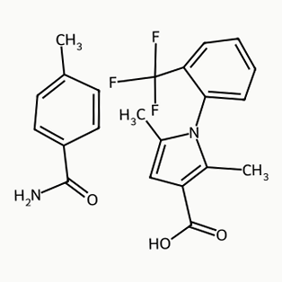 Cc1cc(C(=O)O)c(C)n1-c1ccccc1C(F)(F)F.Cc1ccc(C(N)=O)cc1